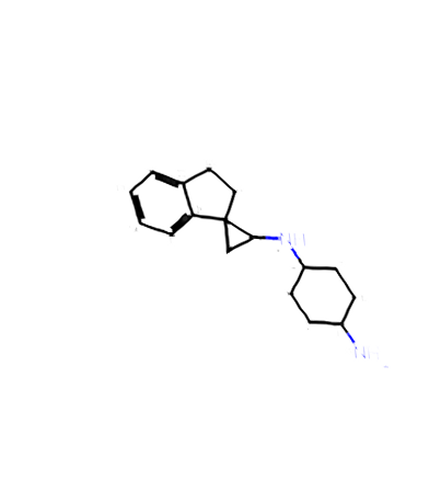 NC1CCC(NC2CC23CCc2ccccc23)CC1